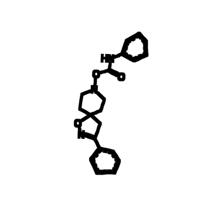 O=C(Nc1ccccc1)ON1CCC2(CC1)CC(c1ccccc1)=NO2